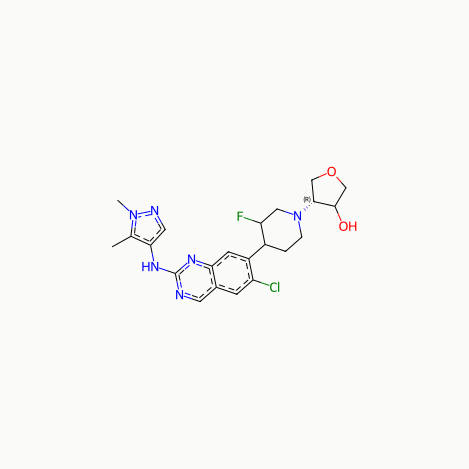 Cc1c(Nc2ncc3cc(Cl)c(C4CCN([C@@H]5COCC5O)CC4F)cc3n2)cnn1C